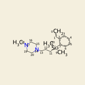 C=Cc1ccccc1[Si](C)(C)CCCN1CCN(C)CC1